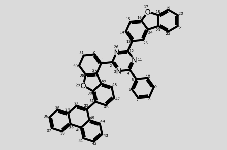 C1=C(c2nc(-c3ccccc3)nc(-c3ccc4oc5ccccc5c4c3)n2)c2c(oc3c(-c4cc5ccccc5c5ccccc45)cccc23)CC1